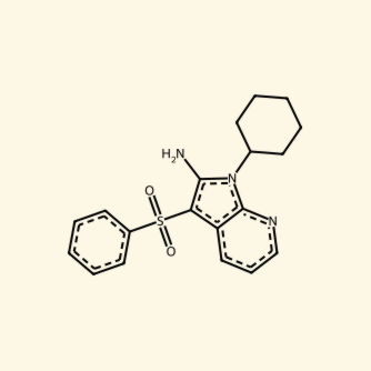 Nc1c(S(=O)(=O)c2ccccc2)c2cccnc2n1C1CCCCC1